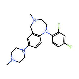 CN1CCN(c2ccc3c(c2)CN(C)CCN3c2ccc(F)cc2F)CC1